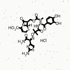 CN(C(=O)OCC1C(=O)N2C(C(=O)O)=CCS[C@@H]12)N(NC(=O)C(C)(C)ON=C(C(N)=O)c1csc(N)n1)C(=O)c1ccc(O)c(O)c1.Cl